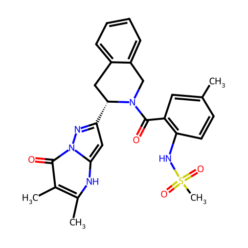 Cc1ccc(NS(C)(=O)=O)c(C(=O)N2Cc3ccccc3C[C@H]2c2cc3[nH]c(C)c(C)c(=O)n3n2)c1